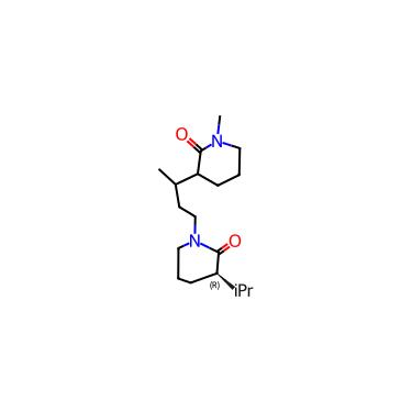 CC(CCN1CCC[C@H](C(C)C)C1=O)C1CCCN(C)C1=O